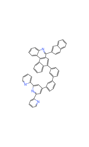 c1ccc(-c2cc(-c3cccc(-c4cccc(-c5cc6c(-c7ccc8ccccc8c7)nc7ccccc7c6c6ccccc56)c4)c3)cc(-c3ccccn3)n2)nc1